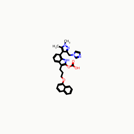 Cc1c(-c2cccc3c(CCCOc4cccc5ccccc45)c(OC(=O)O)[nH]c23)c(Cn2ccnc2)nn1C